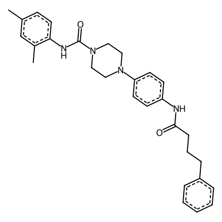 Cc1ccc(NC(=O)N2CCN(c3ccc(NC(=O)CCCc4ccccc4)cc3)CC2)c(C)c1